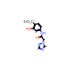 CCOC(=O)c1ccc(NC(=O)Cn2cncn2)cc1O